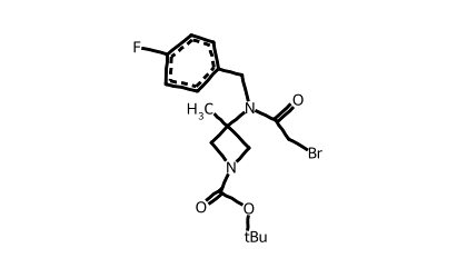 CC(C)(C)OC(=O)N1CC(C)(N(Cc2ccc(F)cc2)C(=O)CBr)C1